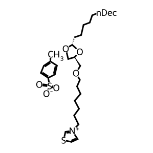 CCCCCCCCCCCCCCC[C@H]1OC[C@H](COCCCCCCC[n+]2ccsc2)O1.Cc1ccc(S(=O)(=O)[O-])cc1